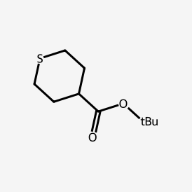 CC(C)(C)OC(=O)C1CCSCC1